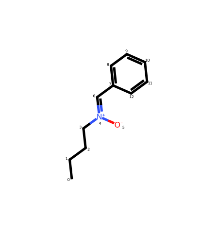 CCCC/[N+]([O-])=C/c1ccccc1